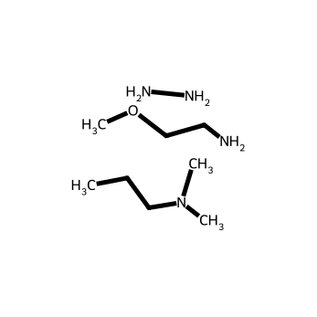 CCCN(C)C.COCCN.NN